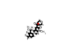 C[C@@H](Nc1ncnc2c1cc(C(=O)N1C3CCC1COC3)c(=O)n2C)c1cccc(C(F)F)c1F